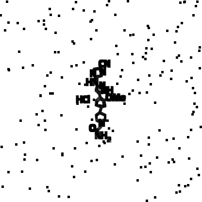 COc1cc(C2CCN(CC(N)=O)CC2)ccc1-c1cc(Nc2cnc(C#N)cn2)n[nH]1.Cl